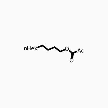 CCCCCCCCCCOC(=O)C(C)=O